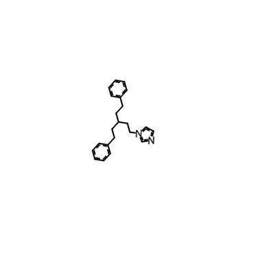 c1ccc(CCC(CCc2ccccc2)CCn2ccnc2)cc1